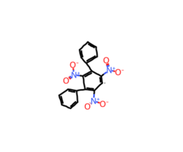 O=[N+]([O-])c1[c]c([N+](=O)[O-])c(-c2ccccc2)c([N+](=O)[O-])c1-c1ccccc1